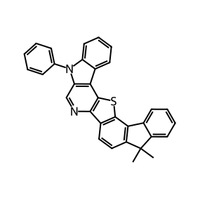 CC1(C)c2ccccc2-c2c1ccc1c2sc2c1ncc1c2c2ccccc2n1-c1ccccc1